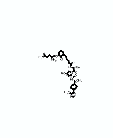 Cc1ncsc1-c1ccc([C@H](C)NC(=O)[C@@H]2C[C@H](O)CN2C(=O)[C@@H](NC(=O)CCCCc2cccc(OC[C@@H](N)CCC(N)=O)c2Cl)C(C)(C)C)cc1